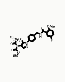 CCOC(=O)c1c(N(C(=O)OC(C)(C)C)C(=O)OC(C)(C)C)cnn1-c1ccc(CNC(=O)c2cc(F)ccc2OC)cc1